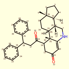 C[C@@]12CCC[C@H]1[C@@H]1CNC3=CC(=O)CC(C(=O)CC(c4ccccc4)c4ccccc4)[C@]3(C)[C@@H]1CC2